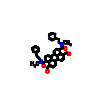 CN(CCc1ccccc1)C(=O)c1ccc2c3ccc(C(=O)N(C)CCc4ccccc4)c4c(C=O)ccc(c5ccc(C=O)c1c52)c43